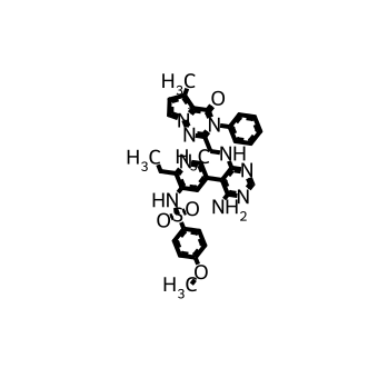 CCc1ncc(-c2c(N)ncnc2NC(C)c2nn3ccc(C)c3c(=O)n2-c2ccccc2)cc1NS(=O)(=O)c1ccc(OC)cc1